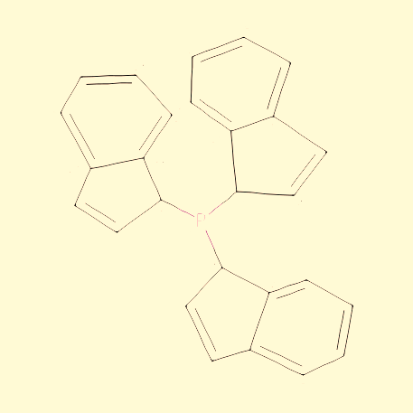 C1=CC(P(C2C=Cc3ccccc32)C2C=Cc3ccccc32)c2ccccc21